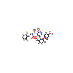 COc1ccnc(-c2nc(=O)c(C(=O)N3CCC(c4c(F)cccc4F)C3)c(O)n2-c2c(OC)cccc2OC)c1